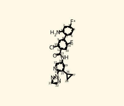 Nc1cc(F)ccc1-c1cc(Cl)c(C(=O)Nc2cnc(-n3nccn3)c(C3CC3)c2)cc1F